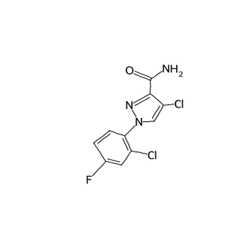 NC(=O)c1nn(-c2ccc(F)cc2Cl)cc1Cl